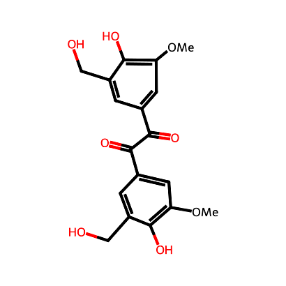 COc1cc(C(=O)C(=O)c2cc(CO)c(O)c(OC)c2)cc(CO)c1O